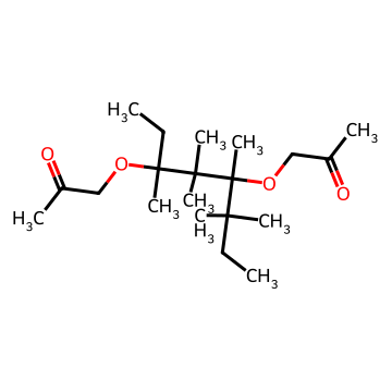 CCC(C)(C)C(C)(OCC(C)=O)C(C)(C)C(C)(CC)OCC(C)=O